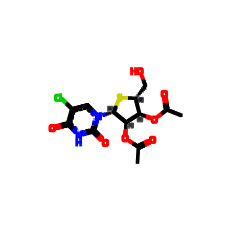 CC(=O)O[C@@H]1[C@H](OC(C)=O)[C@@H](CO)S[C@H]1n1cc(Cl)c(=O)[nH]c1=O